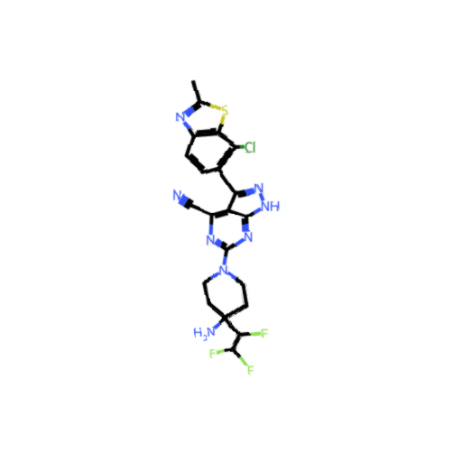 Cc1nc2ccc(-c3n[nH]c4nc(N5CCC(N)(C(F)C(F)F)CC5)nc(C#N)c34)c(Cl)c2s1